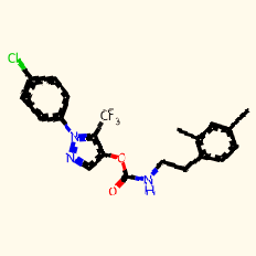 Cc1ccc(CCNC(=O)Oc2cnn(-c3ccc(Cl)cc3)c2C(F)(F)F)c(C)c1